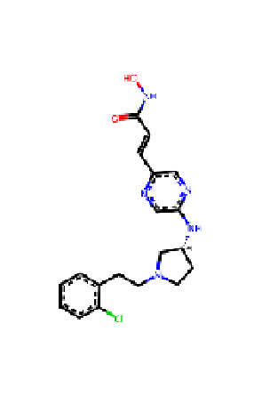 O=C(C=Cc1cnc(N[C@@H]2CCN(CCc3ccccc3Cl)C2)cn1)NO